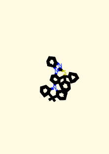 CC1(C)c2ccccc2N(c2ccc3c(c2)C(c2ccccc2)(c2ccccc2)Sc2nc4ccccc4n2-3)c2ccccc21